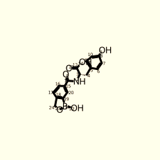 O=C(N[C@@H](Cc1ccc(O)cc1)C(=O)O)c1ccc2c(c1)B(O)OC2